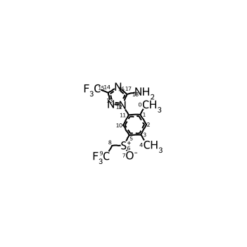 Cc1cc(C)c([S+]([O-])CC(F)(F)F)cc1-n1nc(C(F)(F)F)nc1N